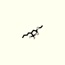 CCCCC(CC(=O)OCC)C(F)(F)F